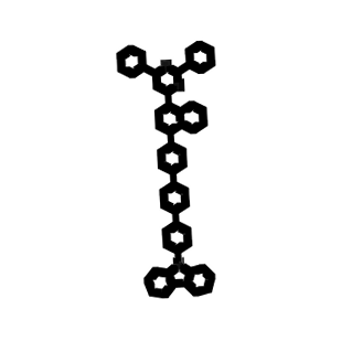 c1ccc(-c2cc(-c3ccc(-c4ccc(-c5ccc(-c6ccc(-n7c8ccccc8c8ccccc87)cc6)cc5)cc4)c4ccccc34)nc(-c3ccccc3)n2)cc1